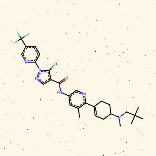 Cc1cc(NC(=O)c2cnn(-c3ccc(C(F)(F)F)cn3)c2Cl)cnc1C1=CCC(N(C)CC(C)(C)C)CC1